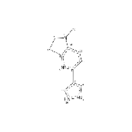 CN1CCc2nc(-c3cn[nH]c3)ccc21